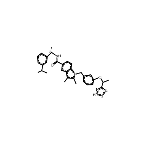 Cc1c(C)n(Cc2cccc(OC(C)c3nn[nH]n3)c2)c2ccc(C(=O)N[C@@H](C)c3cccc(C(C)C)c3)cc12